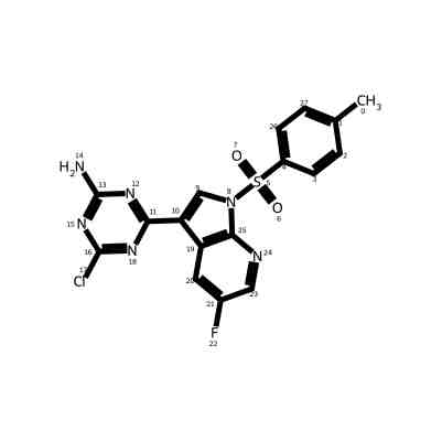 Cc1ccc(S(=O)(=O)n2cc(-c3nc(N)nc(Cl)n3)c3cc(F)cnc32)cc1